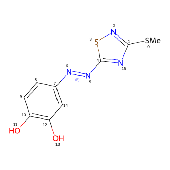 CSc1nsc(/N=N/c2ccc(O)c(O)c2)n1